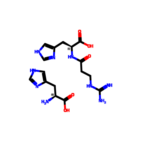 N=C(N)NCCC(=O)N[C@@H](Cc1c[nH]cn1)C(=O)O.N[C@@H](Cc1c[nH]cn1)C(=O)O